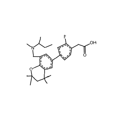 CCC(C)N(C)Cc1cc(-c2ccc(CC(=O)O)c(F)c2)cc2c1OC(C)(C)CC2(C)C